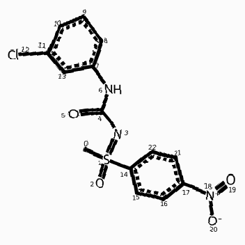 CS(=O)(=NC(=O)Nc1cccc(Cl)c1)c1ccc([N+](=O)[O-])cc1